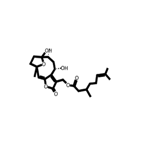 CC(C)=CCCC(C)CC(=O)OCC1=C2C(=CC3(C)CCC(O)(O3)[C@H](C)C[C@@H]2O)OC1=O